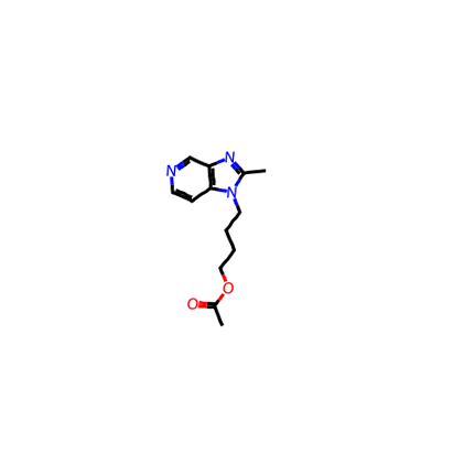 CC(=O)OCCCCn1c(C)nc2cnccc21